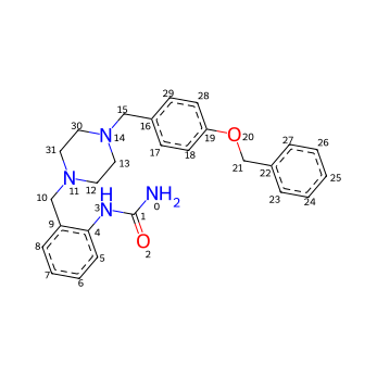 NC(=O)Nc1ccccc1CN1CCN(Cc2ccc(OCc3ccccc3)cc2)CC1